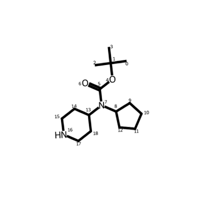 CC(C)(C)OC(=O)N(C1CCCC1)C1CCNCC1